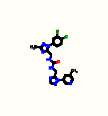 Cc1cncc(-n2ncnc2CNC(=O)NCc2nc(C)nn2-c2ccc(Cl)c(F)c2)c1